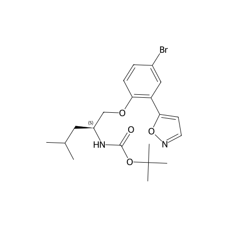 CC(C)C[C@@H](COc1ccc(Br)cc1-c1ccno1)NC(=O)OC(C)(C)C